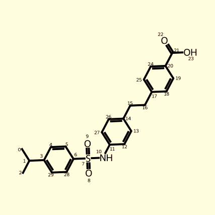 CC(C)c1ccc(S(=O)(=O)Nc2ccc(CCc3ccc(C(=O)O)cc3)cc2)cc1